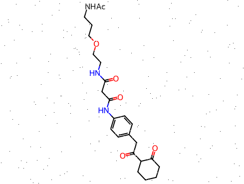 CC(=O)NCCCOCCNC(=O)CC(=O)Nc1ccc(CC(=O)C2CCCCC2=O)cc1